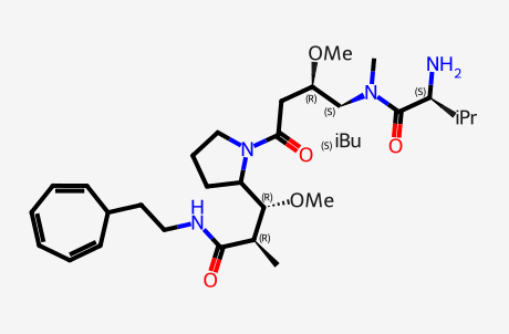 CC[C@H](C)[C@@H]([C@@H](CC(=O)N1CCCC1[C@H](OC)[C@@H](C)C(=O)NCCC1C=CC=CC=C1)OC)N(C)C(=O)[C@@H](N)C(C)C